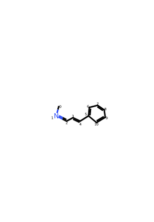 C/N=C\C=C\c1ccccc1